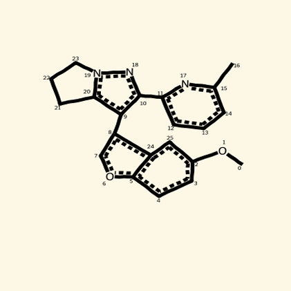 COc1ccc2occ(-c3c(-c4cccc(C)n4)nn4c3CCC4)c2c1